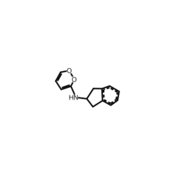 C1=COOC(NC2Cc3ccccc3C2)=C1